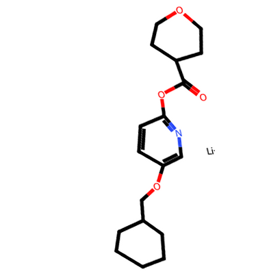 O=C(Oc1ccc(OCC2CCCCC2)cn1)C1CCOCC1.[Li]